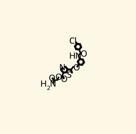 NC(=O)COC(=O)c1cncc2c(COc3cccc(NC(=O)c4ccc(Cl)cc4)c3)csc12